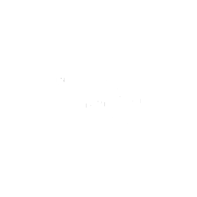 C1CC1.CO[SiH](OC)OC.NC1CCCCC1